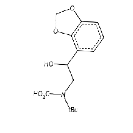 CC(C)(C)N(CC(O)c1cccc2c1OCO2)C(=O)O